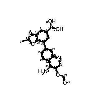 Cc1nc2cc(B(O)O)cc(-c3ccc4c(N)c(OC=O)nnc4c3)c2o1